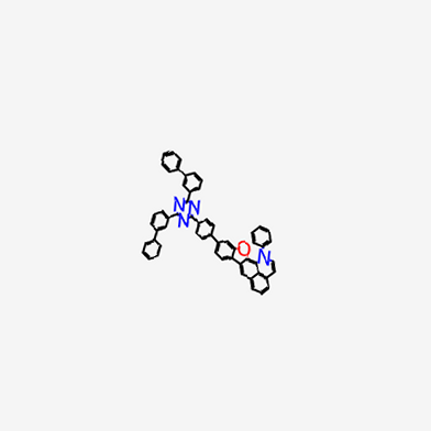 C1=CN(c2ccccc2)c2c3oc4cc(-c5ccc(-c6nc(-c7cccc(-c8ccccc8)c7)nc(-c7cccc(-c8ccccc8)c7)n6)cc5)ccc4c3cc3cccc1c23